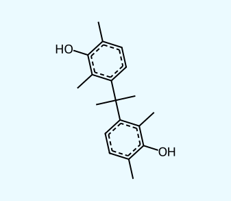 Cc1ccc(C(C)(C)c2ccc(C)c(O)c2C)c(C)c1O